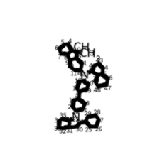 CC1(C)c2ccccc2-c2ccc(N(c3ccc(-c4ccc(-n5c(-c6ccccc6)cc6ccccc65)cc4)cc3)c3cccc4ccccc34)cc21